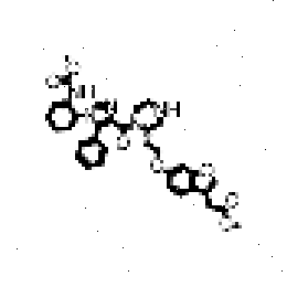 COC(=O)CC1COc2cc(OCC[C@@H]3CNCCN3C(=O)c3ncn([C@H]4CCCC[C@@H]4NC(=O)OC)c3-c3ccccc3)ccc21